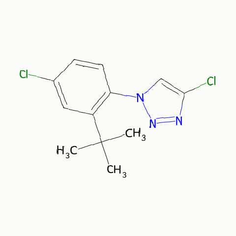 CC(C)(C)c1cc(Cl)ccc1-n1cc(Cl)nn1